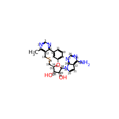 Cc1ncnc(-c2ccccc2)c1CSC[C@H]1O[C@@H](n2ccc3c(N)ncnc32)[C@H](O)[C@@H]1O